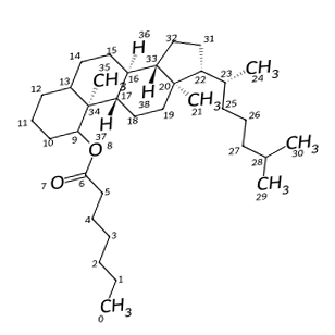 CCCCCCC(=O)OC1CCCC2CC[C@@H]3[C@H](CC[C@]4(C)[C@@H]([C@H](C)CCCC(C)C)CC[C@@H]34)[C@]21C